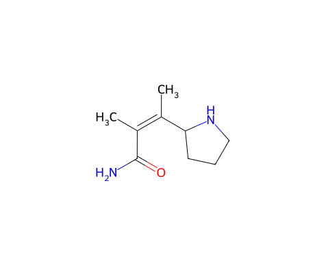 CC(C(N)=O)=C(C)C1CCCN1